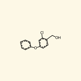 OCc1ccc(Oc2ccccc2)cc1Cl